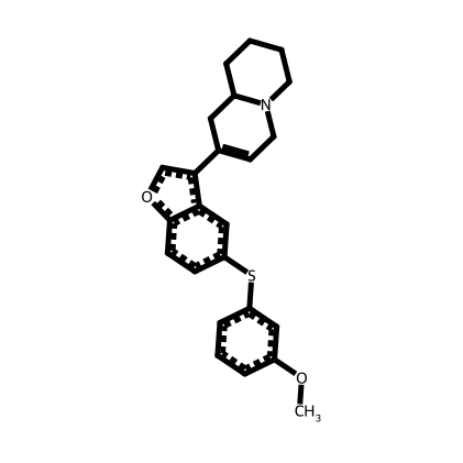 COc1cccc(Sc2ccc3occ(C4=CCN5CCCCC5C4)c3c2)c1